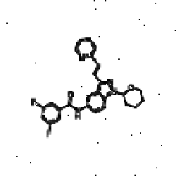 O=C(Nc1ccc2c(c1)c(C=Cc1ccccn1)nn2C1CCCCO1)c1cc(F)cc(F)c1